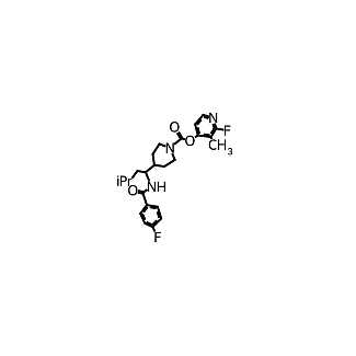 Cc1c(OC(=O)N2CCC(C(CC(C)C)NC(=O)c3ccc(F)cc3)CC2)ccnc1F